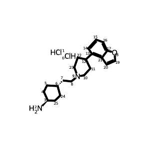 Cl.Cl.N[C@H]1CC[C@H](CCN2CCC(c3cccc4occc34)CC2)CC1